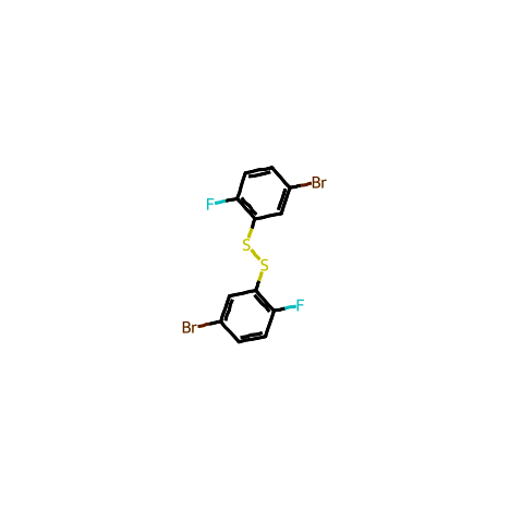 Fc1ccc(Br)cc1SSc1cc(Br)ccc1F